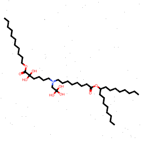 CCCCCCCCCCCOC(=O)C(O)(O)CCCCN(CCCCCCCC(=O)OC(CCCCCCCC)CCCCCCCC)CC(O)(O)O